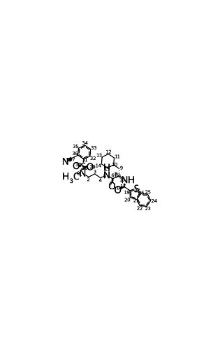 CN(CCCNC(=O)[C@H](CC1CCCCC1)NC(=O)c1cc2ccccc2s1)S(=O)(=O)c1ccccc1C#N